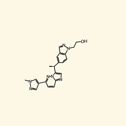 C[C@@H](c1ccc2c(cnn2CCO)c1)c1cnc2ccc(-c3cnn(C)c3)nn12